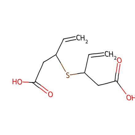 C=CC(CC(=O)O)SC(C=C)CC(=O)O